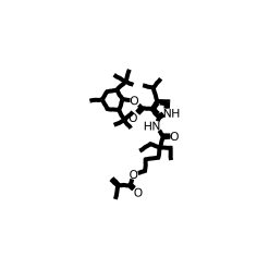 C=C(C)C(=O)OCCCC(CC)(CC)C(=O)Nc1[nH]cc(C(C)C)c1C(=O)OC1C(C(C)(C)C)CC(C)CC1C(C)(C)C